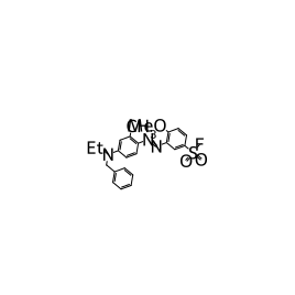 CCN(Cc1ccccc1)c1ccc(N=Nc2cc(S(=O)(=O)F)ccc2OC)c(C)c1